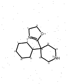 C1CCC(C2(C3=NCCO3)CCNCC2)CC1